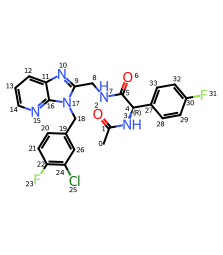 CC(=O)N[C@@H](C(=O)NCc1nc2cccnc2n1Cc1ccc(F)c(Cl)c1)c1ccc(F)cc1